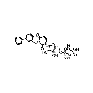 O=c1ccn([C@@H]2O[C@H](COP(=O)(O)OP(=O)(O)O)[C@H](O)C2O)c(=O)n1Cc1cccc(-c2ccccc2)c1